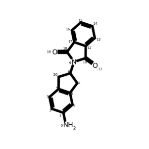 Nc1ccc2c(c1)CC(N1C(=O)c3ccccc3C1=O)C2